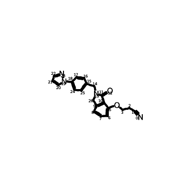 N#CCCOc1cccc2c1C(=O)N(Cc1ccc(-n3cccn3)cc1)C2